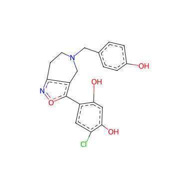 Oc1ccc(CN2CCc3noc(-c4cc(Cl)c(O)cc4O)c3C2)cc1